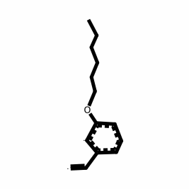 [CH]=Cc1[c]c(OCCCCCC)ccc1